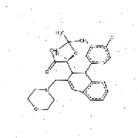 CC(C)(C)O[C@H](C(=O)O)C1C(CN2CCOCC2)=Cc2ccccc2C1c1ccc(Cl)cc1